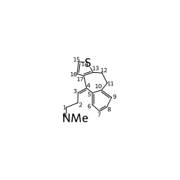 CNCC/C=C1\c2ccccc2CCc2sccc21